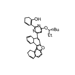 CCCCC(CC)Oc1cc(C2=Cc3oc4ccc5c(c4c3C3C=CC=CC23)CCC=C5)nc(C2=C(O)CCC=C2)n1